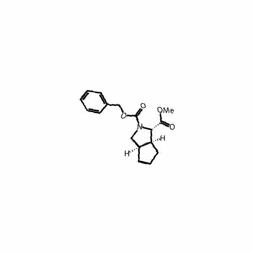 COC(=O)[C@@H]1[C@H]2CCC[C@H]2CN1C(=O)OCc1ccccc1